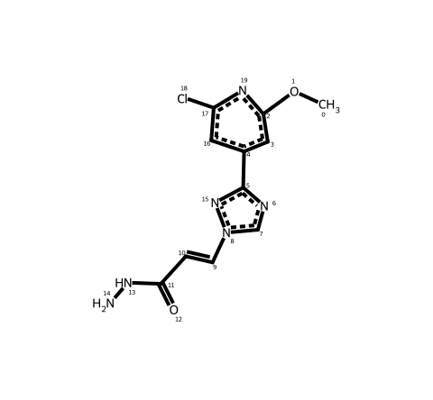 COc1cc(-c2ncn(C=CC(=O)NN)n2)cc(Cl)n1